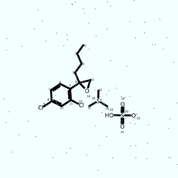 CCCCC1(c2ccc(Cl)cc2Cl)CO1.C[S+](C)C.O=S(=O)([O-])O